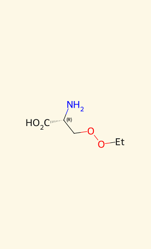 CCOOC[C@@H](N)C(=O)O